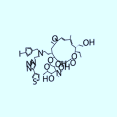 CC[C@H]1OC(=O)C[C@@H](O)[C@H](C)[C@@H](O[C@@H]2O[C@H](C)[C@@H](O)C(N(C)C)C2O)[C@@H](CCN(CCn2cc(-c3ccsc3)nn2)Cc2ccc(I)cc2)C[C@@H](C)C(=O)/C=C/C(C)=C/[C@@H]1CCO